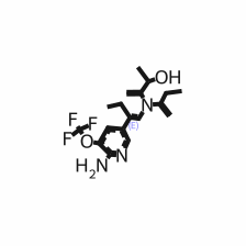 C=C(CC)N(/C=C(\CC)c1cnc(N)c(OC(F)(F)F)c1)C(=C)C(C)O